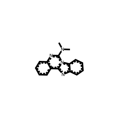 CN(C)c1nc2ccccc2c2nc3ccccc3n12